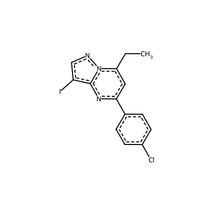 CCc1cc(-c2ccc(Cl)cc2)nc2c(I)cnn12